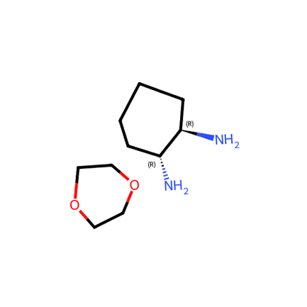 C1COCCO1.N[C@@H]1CCCC[C@H]1N